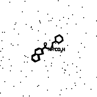 O=C(N[C@H](CC1CCCCC1)C(=O)O)c1ccc2ccccc2c1